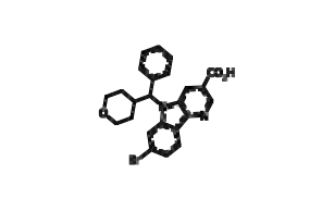 O=C(O)c1cnc2c3ccc(Br)cc3n(C(c3ccccc3)C3CCOCC3)c2c1